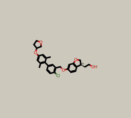 Cc1cc(OC2CCOC2)cc(C)c1-c1ccc(Cl)c(COc2ccc3c(c2)OC[C@H]3CCO)c1